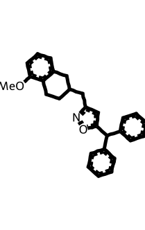 COc1cccc2c1CCC(Cc1cc(C(c3ccccc3)c3ccccc3)on1)C2